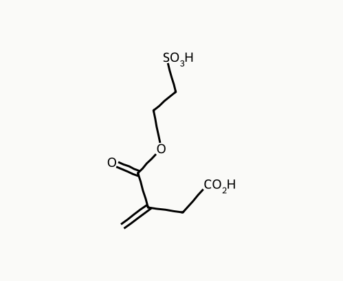 C=C(CC(=O)O)C(=O)OCCS(=O)(=O)O